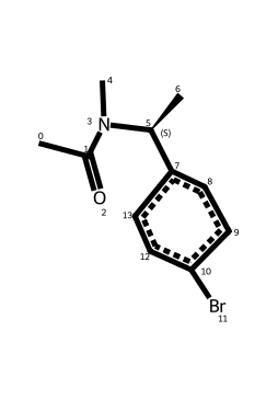 CC(=O)N(C)[C@@H](C)c1ccc(Br)cc1